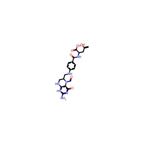 C=C(O)CC(NC(=O)c1ccc(NCC2CNc3[nH]c(N)nc(=O)c3N2C=O)cc1)C(=O)O